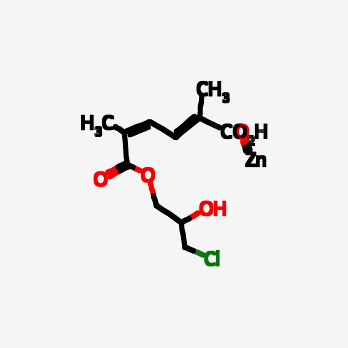 CC(=CC=C(C)C(=O)OCC(O)CCl)C(=O)O.[O]=[Zn]